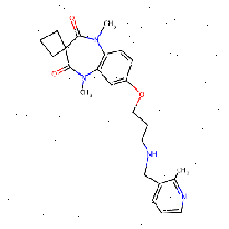 Cc1ncccc1CNCCCOc1ccc2c(c1)N(C)C(=O)C1(CCC1)C(=O)N2C